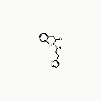 O=C(Cc1ccccc1Cl)ONCCc1cccs1